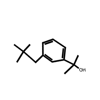 CC(C)(C)Cc1cccc(C(C)(C)O)c1